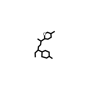 CCC(CCC(C)C1CCC(C)CO1)C1CCC(C)CC1